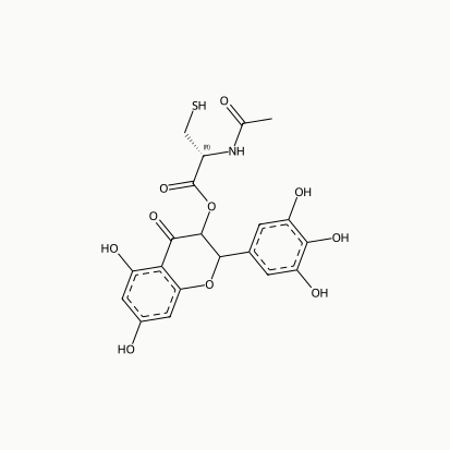 CC(=O)N[C@@H](CS)C(=O)OC1C(=O)c2c(O)cc(O)cc2OC1c1cc(O)c(O)c(O)c1